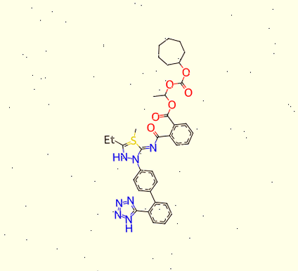 CCC1=S(C)C(=NC(=O)c2ccccc2C(=O)OC(C)OC(=O)OC2CCCCCC2)N(c2ccc(-c3ccccc3-c3nnn[nH]3)cc2)N1